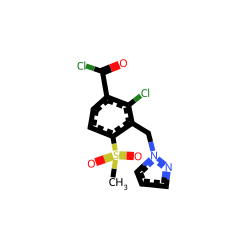 CS(=O)(=O)c1ccc(C(=O)Cl)c(Cl)c1Cn1cccn1